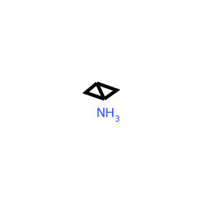 C1C2CC12.N